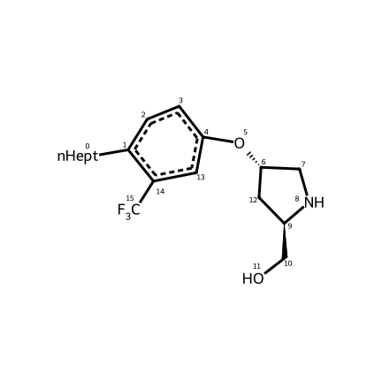 CCCCCCCc1ccc(O[C@@H]2CN[C@@H](CO)C2)cc1C(F)(F)F